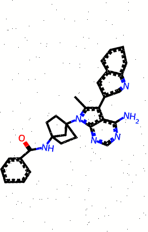 Cc1c(-c2cnc3ccccc3c2)c2c(N)ncnc2n1C12CCC(NC(=O)c3ccccc3)(CC1)C2